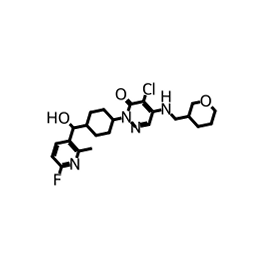 Cc1nc(F)ccc1C(O)C1CCC(n2ncc(NCC3CCCOC3)c(Cl)c2=O)CC1